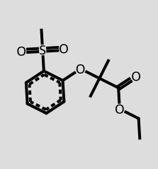 CCOC(=O)C(C)(C)Oc1ccccc1S(C)(=O)=O